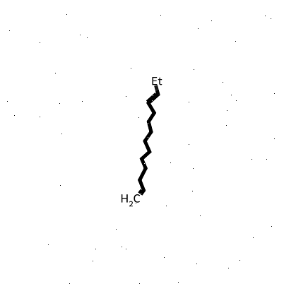 [CH2]CC=CCCCCCCCCC=C